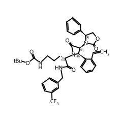 C=Cc1ccccc1[C@@H]1[C@H](N2C(=O)OC[C@@H]2c2ccccc2)C(=O)N1[C@@H](CCCNC(=O)OC(C)(C)C)C(=O)NCc1cccc(C(F)(F)F)c1